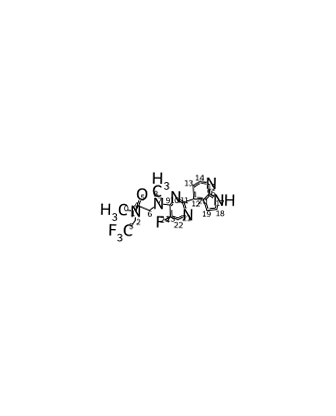 CN(CC(F)(F)F)C(=O)CN(C)c1nc(-c2ccnc3[nH]ccc23)ncc1F